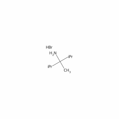 Br.CC(C)C(C)(N)C(C)C